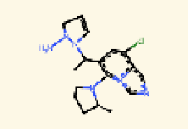 CC(c1cc(Cl)c2cncn2c1N1CCC[C@@H]1C)N1C=CCN1N